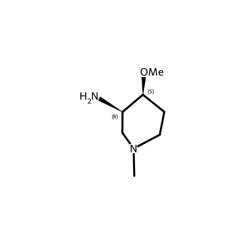 CO[C@H]1CCN(C)C[C@H]1N